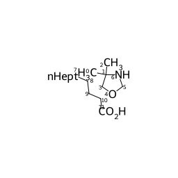 CC1(C)COCN1.CCCCCCCCCCC(=O)O